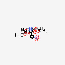 Cc1nc(C)c(OC(=O)OC(C)C)c(-c2cccc([N+](=O)[O-])c2)c1OC(=O)OC(C)C